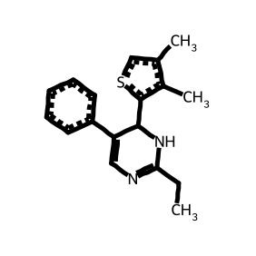 CCC1=NC=C(c2ccccc2)C(c2scc(C)c2C)N1